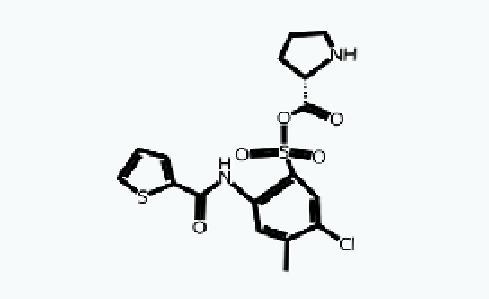 Cc1cc(NC(=O)c2cccs2)c(S(=O)(=O)OC(=O)[C@@H]2CCCN2)cc1Cl